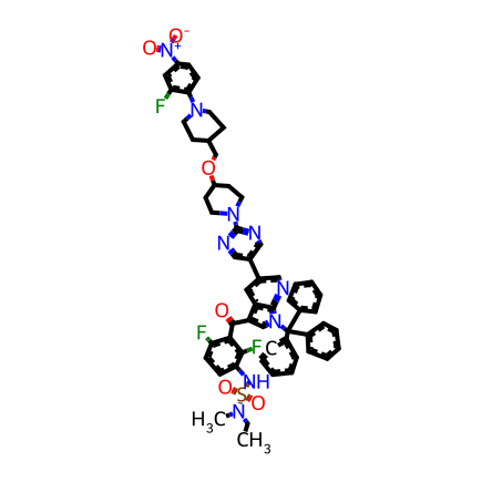 CCN(C)S(=O)(=O)Nc1ccc(F)c(C(=O)c2cn(C(c3ccccc3)(c3ccccc3)c3ccccc3)c3ncc(-c4cnc(N5CCC(OCC6CCN(c7ccc([N+](=O)[O-])cc7F)CC6)CC5)nc4)cc23)c1F